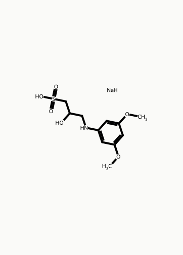 COc1cc(NCC(O)CS(=O)(=O)O)cc(OC)c1.[NaH]